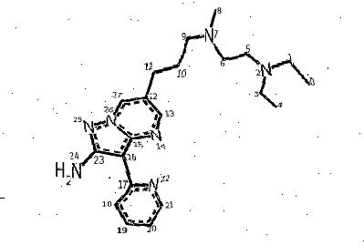 CCN(CC)CCN(C)CCCc1cnc2c(-c3ccccn3)c(N)nn2c1